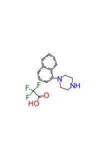 O=C(O)C(F)(F)F.c1ccc2c(N3CCNCC3)cccc2c1